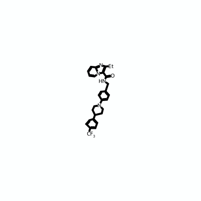 CCc1nc2ccccn2c1C(=O)NCc1ccc(N2CCC(c3ccc(C(F)(F)F)cc3)CC2)cc1